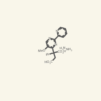 COc1cnc(-c2ccccn2)nc1C(CC(=O)O)(C(=O)O)C(C)C.N.N